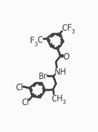 CC(CC(Br)NCC(=O)c1cc(C(F)(F)F)cc(C(F)(F)F)c1)c1ccc(Cl)c(Cl)c1